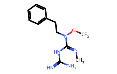 CN=C(NC(=N)N)N(CCc1ccccc1)OC(F)(F)F